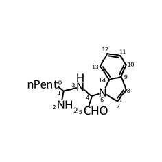 CCCCCC(N)NC(C=O)n1[c]cc2ccccc21